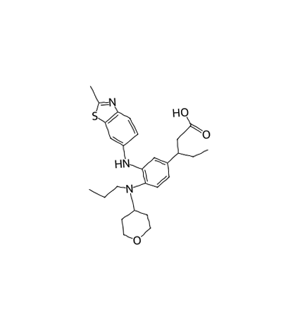 CCCN(c1ccc(C(CC)CC(=O)O)cc1Nc1ccc2nc(C)sc2c1)C1CCOCC1